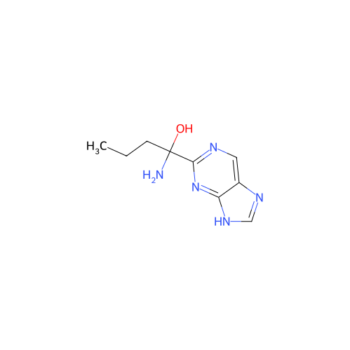 CCCC(N)(O)c1ncc2nc[nH]c2n1